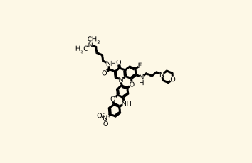 CN(C)CCCCNC(=O)c1cn2c3cc4oc5cc([N+](=O)[O-])ccc5[nH]c4cc3oc3c(NCCCN4CCOCC4)c(F)cc(c1=O)c32